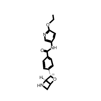 CCOc1ccc(NC(=O)c2ccc([C@@H]3OC4CN[C@H]43)cc2)cn1